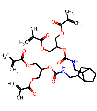 C=C(C)C(=O)OCC(COC(=O)C(=C)C)OC(=O)NCC1CC2CCC1C2CNC(=O)OC(COC(=O)C(=C)C)COC(=O)C(=C)C